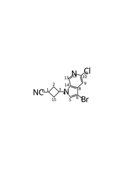 N#CC1CC(n2cc(Br)c3cc(Cl)ncc32)C1